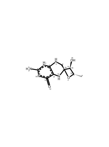 C[C@@H]1O[C@@]2(CNc3[nH]c(N)nc(=O)c3N2)[C@H]1O